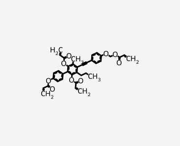 C=CC(=O)OCOc1ccc(C#Cc2c(C)c(OC(=O)C=C)c(-c3ccc(OC(=O)C=C)cc3)c(OC(=O)C=C)c2CCC)cc1